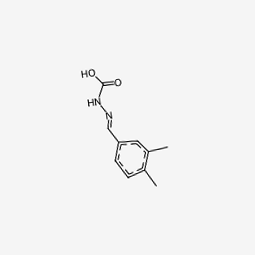 Cc1ccc(C=NNC(=O)O)cc1C